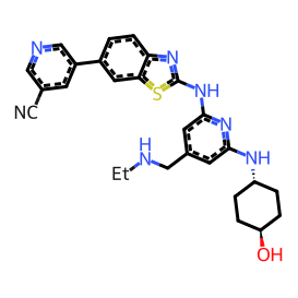 CCNCc1cc(Nc2nc3ccc(-c4cncc(C#N)c4)cc3s2)nc(N[C@H]2CC[C@H](O)CC2)c1